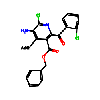 CC(=O)Nc1c(N)c(Cl)nc(C(=O)c2ccccc2Cl)c1C(=O)OCc1ccccc1